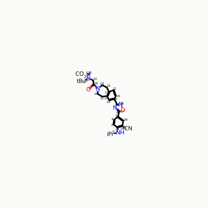 CC(C)Nc1ccc(-c2nc(-c3ccc4c(c3)CCN(C(=O)CN(C(=O)O)C(C)(C)C)CC4)no2)cc1C#N